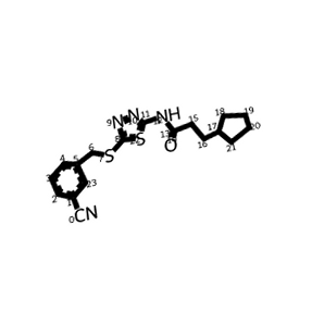 N#Cc1cccc(CSc2nnc(NC(=O)CCC3CCCC3)s2)c1